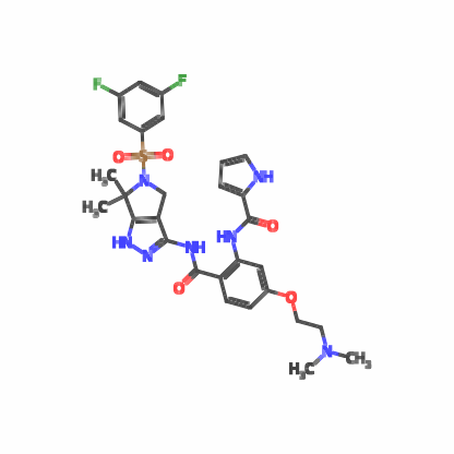 CN(C)CCOc1ccc(C(=O)Nc2n[nH]c3c2CN(S(=O)(=O)c2cc(F)cc(F)c2)C3(C)C)c(NC(=O)c2ccc[nH]2)c1